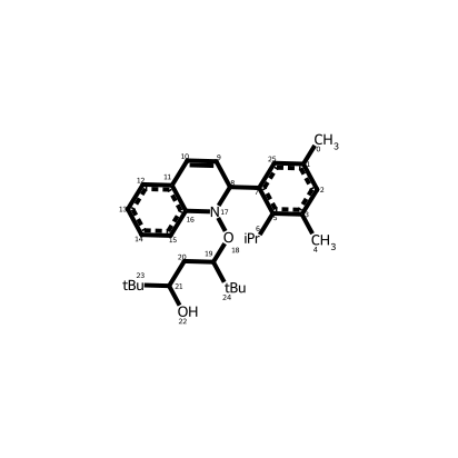 Cc1cc(C)c(C(C)C)c(C2C=Cc3ccccc3N2OC(CC(O)C(C)(C)C)C(C)(C)C)c1